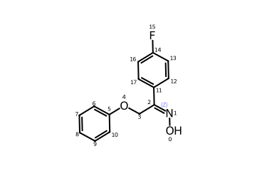 O/N=C(\COc1ccccc1)c1ccc(F)cc1